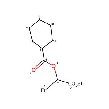 CCOC(=O)C(CC)OC(=O)C1CCCCC1